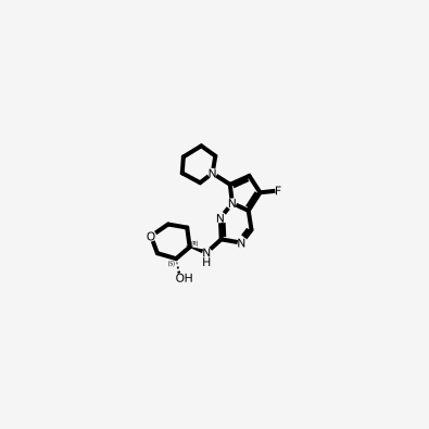 O[C@@H]1COCC[C@H]1Nc1ncc2c(F)cc(N3CCCCC3)n2n1